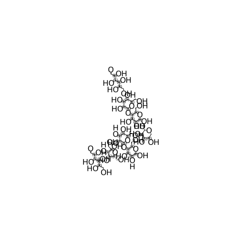 O=C[C@@H](O)[C@@H](O)[C@H](O)[C@H](O)CO.O=C[C@H](O)[C@@H](O)[C@H](O)[C@H](O)CO.OC1OC[C@@H](O)[C@H](O)[C@H]1O.OC[C@H]1O[C@@H](O[C@H]2[C@H](O)[C@@H](O)[C@H](O)O[C@@H]2CO)[C@H](O)[C@@H](O)[C@@H]1O.OC[C@H]1O[C@@H](O[C@H]2[C@H](O)[C@@H](O)[C@H](O)O[C@@H]2CO)[C@H](O)[C@@H](O)[C@@H]1O.OC[C@H]1O[C@](O)(CO)[C@@H](O)[C@@H]1O